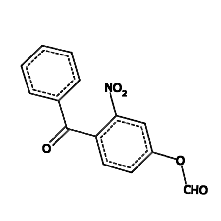 O=COc1ccc(C(=O)c2ccccc2)c([N+](=O)[O-])c1